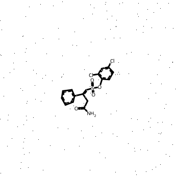 NC(=O)C/C(=C\S(=O)(=O)Oc1ccc(Cl)cc1Cl)c1ccccc1